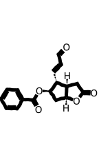 O=CC=C[C@@H]1[C@H]2CC(=O)O[C@H]2C[C@H]1OC(=O)c1ccccc1